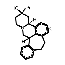 CC(C)[C@]1(O)CCN2C[C@H]3c4ccccc4CCc4cccc(c43)[C@@H]2C1.Cl